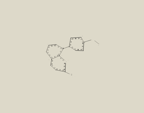 COc1ccc(-c2cccc3ccc(N)nc23)cc1